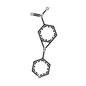 O=[N+]([O-])c1ccc2c(c1)N2c1ccncc1